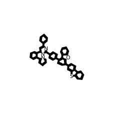 c1ccc(-c2cc(-c3ccccc3-c3ccccn3)nc(-c3ccc(-c4ccc(-c5ccc6c(c5)sc5ccccc56)c5oc6ccccc6c45)cc3)n2)cc1